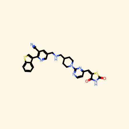 N#Cc1cc(CNCC2CCN(c3nccc(C=C4SC(=O)NC4=O)n3)CC2)cnc1-c1csc2ccccc12